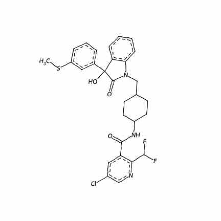 CSc1cccc(C2(O)C(=O)N(CC3CCC(NC(=O)c4cc(Cl)cnc4C(F)F)CC3)c3ccccc32)c1